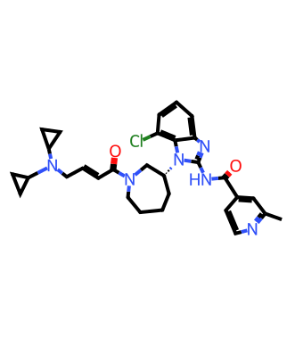 Cc1cc(C(=O)Nc2nc3cccc(Cl)c3n2[C@@H]2CCCCN(C(=O)/C=C/CN(C3CC3)C3CC3)C2)ccn1